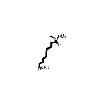 CCCCCCCCCCCCCCCC(=O)N(C)OC